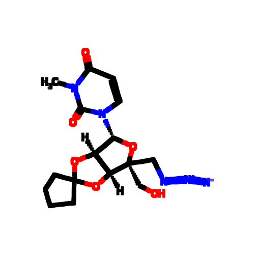 Cn1c(=O)ccn([C@@H]2O[C@@](CO)(CN=[N+]=[N-])[C@H]3OC4(CCCC4)O[C@@H]23)c1=O